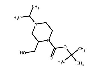 CC(C)N1CCN(C(=O)OC(C)(C)C)C(CO)C1